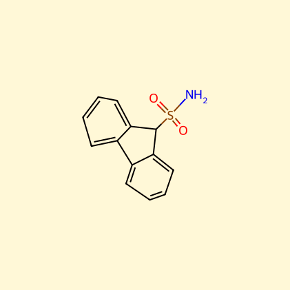 NS(=O)(=O)C1c2ccccc2-c2ccccc21